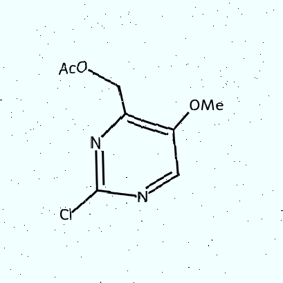 COc1cnc(Cl)nc1COC(C)=O